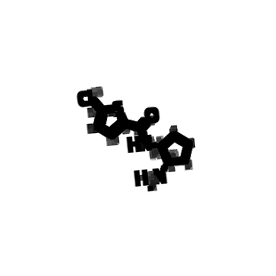 N[C@H]1CCC[C@H]1NC(=O)c1ccc(Cl)s1